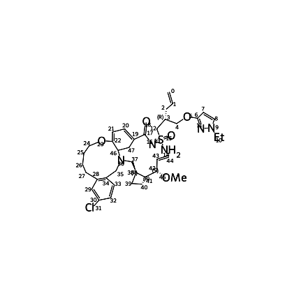 C=CC[C@H](COc1ccn(CC)n1)CS(N)(=O)=NC(=O)C1=CC=C2OCCCCc3cc(Cl)ccc3CN(C[C@@H]3CC[C@H]3[C@H](C=C)OC)C2C1